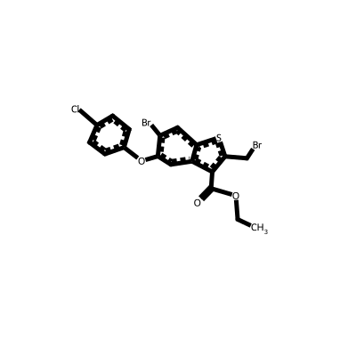 CCOC(=O)c1c(CBr)sc2cc(Br)c(Oc3ccc(Cl)cc3)cc12